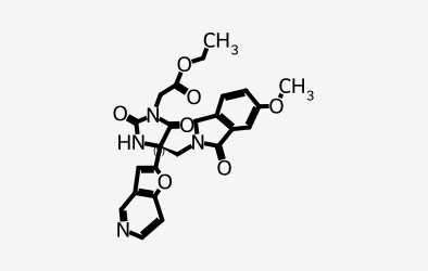 CCOC(=O)CN1C(=O)N[C@@](CN2Cc3ccc(OC)cc3C2=O)(c2cc3cnccc3o2)C1=O